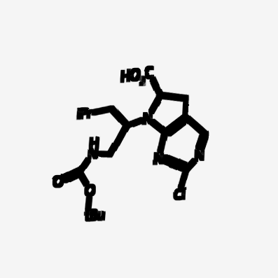 CC(C)CC(CNC(=O)OC(C)(C)C)N1c2nc(Cl)ncc2CC1C(=O)O